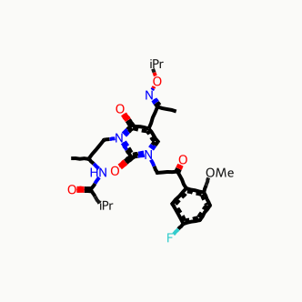 COc1ccc(F)cc1C(=O)Cn1cc(/C(C)=N/OC(C)C)c(=O)n(CC(C)NC(=O)C(C)C)c1=O